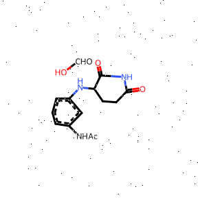 CC(=O)Nc1cccc(NC2CCC(=O)NC2=O)c1.O=CO